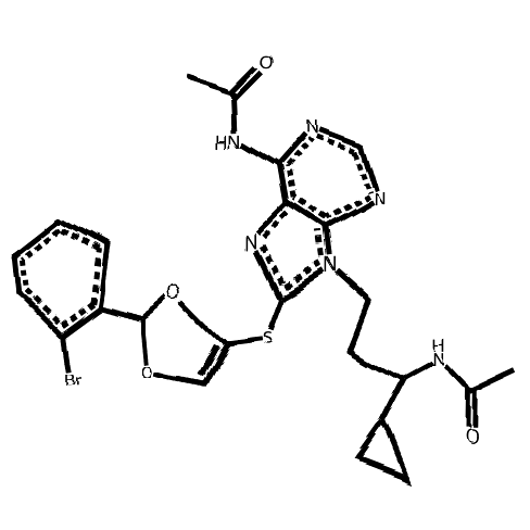 CC(=O)Nc1ncnc2c1nc(SC1=COC(c3ccccc3Br)O1)n2CCC(NC(C)=O)C1CC1